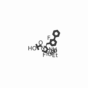 CCS(=O)(=O)N[C@@H]1[C@H](Cc2cccc(-c3ccccc3)c2F)N(C(=O)C(C)(C)O)CC1(F)F